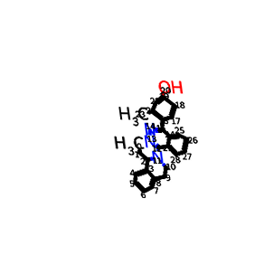 CCC1c2ccccc2CCN1c1nnc(-c2ccc(O)cc2C)c2ccccc12